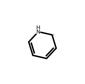 [C]1C=CC=CN1